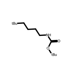 CC(C)(C)CCCCNC(=O)OC(C)(C)C